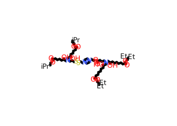 CCC(CC)COC(=O)CCCCCCC(O)CN(CCCC(=O)OCCN1CCN(CCSSCCCN(CC(O)CCCCC(=O)OCCC(C)C)CC(O)CCCCC(=O)OCCC(C)C)CC1)CC(O)CCCCCCC(=O)OCC(CC)CC